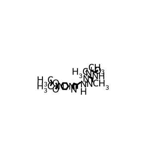 Cc1nc(NCc2cnn(C3CCN(C(=O)OC(C)C)CC3)c2)nc2c1NC(=O)[C@H](C)N2C